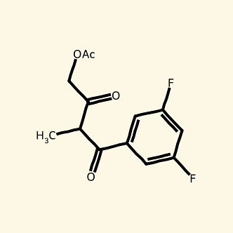 CC(=O)OCC(=O)C(C)C(=O)c1cc(F)cc(F)c1